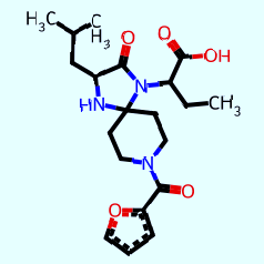 CCC(C(=O)O)N1C(=O)C(CC(C)C)NC12CCN(C(=O)c1ccco1)CC2